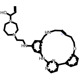 C=CC(O)N1CCCN(CCNc2cc3cc(c2)Nc2nccc(n2)-c2cccc(c2)OCC/C=C/CNC3)CC1